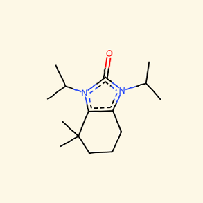 CC(C)n1c2c(n(C(C)C)c1=O)C(C)(C)CCC2